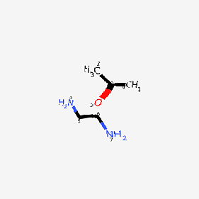 CC(C)=O.NCCN